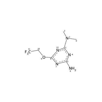 CN(C)c1nc(N)nc(OCC(F)(F)F)n1